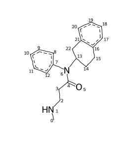 CNCCC(=O)N(c1ccccc1)C1CCc2ccccc2C1